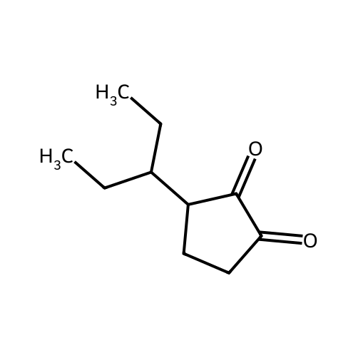 CCC(CC)C1CCC(=O)C1=O